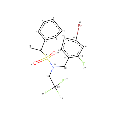 CC(c1ccccc1)S(=O)(=O)N(Cc1ccc(Br)cc1F)CC(F)(F)F